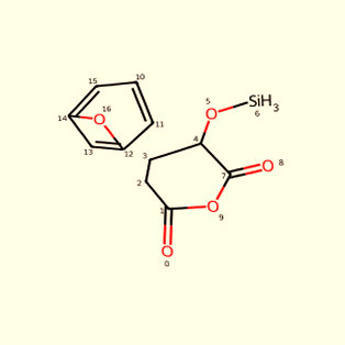 O=C1CCC(O[SiH3])C(=O)O1.c1cc2cc(c1)O2